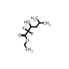 CCOC(=O)C(F)(F)C(O)CC(C)C